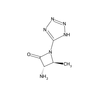 C[C@H]1[C@H](N)C(=O)N1c1nnn[nH]1